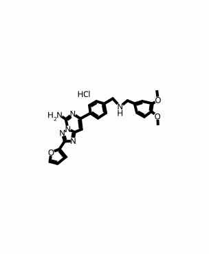 COc1ccc(CNCc2ccc(-c3cc4nc(-c5ccco5)nn4c(N)n3)cc2)cc1OC.Cl